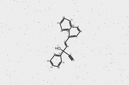 C#CC(O)(C=Cc1cccc2ccccc12)c1ccccc1